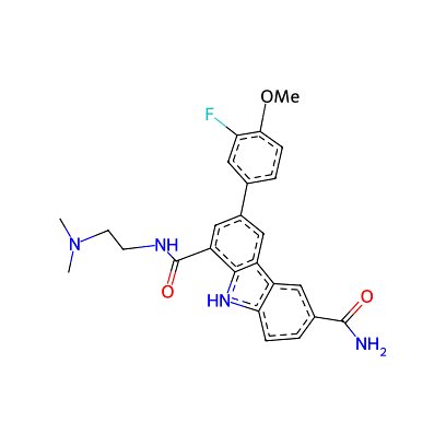 COc1ccc(-c2cc(C(=O)NCCN(C)C)c3[nH]c4ccc(C(N)=O)cc4c3c2)cc1F